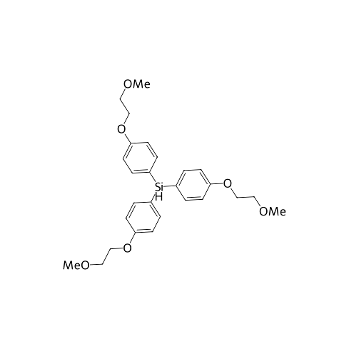 COCCOc1ccc([SiH](c2ccc(OCCOC)cc2)c2ccc(OCCOC)cc2)cc1